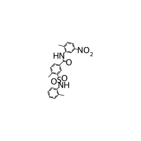 Cc1ccc([N+](=O)[O-])cc1NC(=O)c1ccc(C)c(S(=O)(=O)Nc2ccccc2C)c1